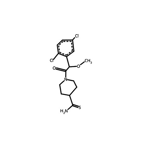 COC(C(=O)N1CCC(C(N)=S)CC1)c1cc(Cl)ccc1Cl